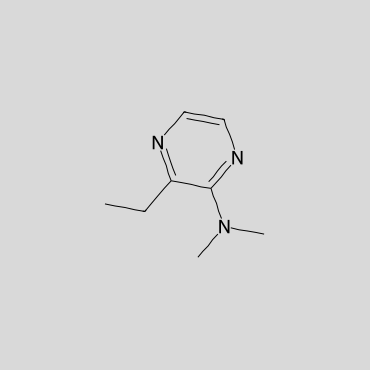 CCc1nccnc1N(C)C